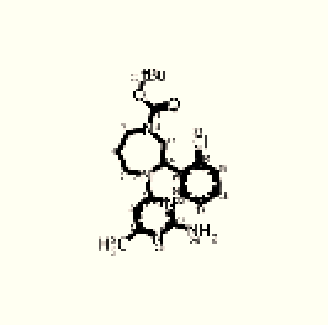 Cc1cc(N2CCCN(C(=O)OC(C)(C)C)CC2c2ccccc2Cl)nc(N)n1